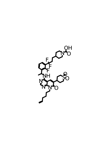 C=CCCCCn1c(=O)c(C2CCS(=O)(=O)CC2)cc2c(NC(C)c3cccc(C(F)(F)CCC4CCN(C(=O)O)CC4)c3F)ncnc21